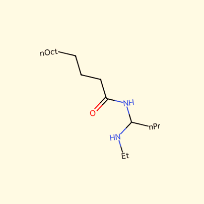 CCCCCCCCCCCC(=O)NC(CCC)NCC